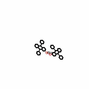 B(Oc1ccc2c(-c3ccccc3)c3ccccc3c(-c3ccccc3)c2c1)Oc1ccc2c(-c3ccccc3)c3ccccc3c(-c3ccccc3)c2c1